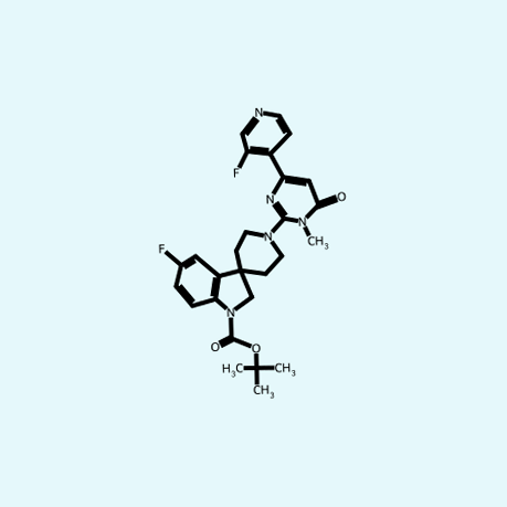 Cn1c(N2CCC3(CC2)CN(C(=O)OC(C)(C)C)c2ccc(F)cc23)nc(-c2ccncc2F)cc1=O